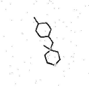 CC1CCC(C[N+]2(C)CCOCC2)CC1